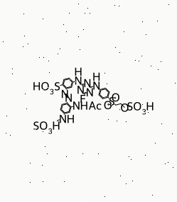 CC(=O)Nc1cc(NCS(=O)(=O)O)ccc1/N=N/c1cc(Nc2nc(F)nc(Nc3ccc(S(=O)(=O)CCOS(=O)(=O)O)cc3)n2)ccc1S(=O)(=O)O